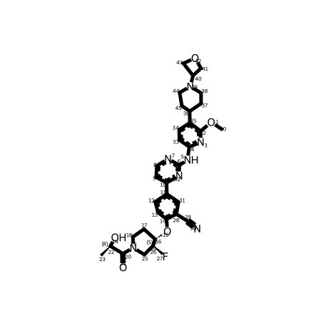 COc1nc(Nc2nccc(-c3ccc(O[C@H]4CCN(C(=O)[C@@H](C)O)C[C@@H]4F)c(C#N)c3)n2)ccc1C1CCN(C2COC2)CC1